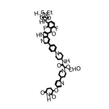 CCN(C)S(=O)(=O)Nc1ccc(F)c(C(=O)c2c[nH]c3ncc(-c4ccc(N5CCC(NC(=O)C(OC=O)N6CCC(c7ccc(OC8CCC(=O)NC8=O)cn7)CC6)CC5)cc4)cc23)c1F